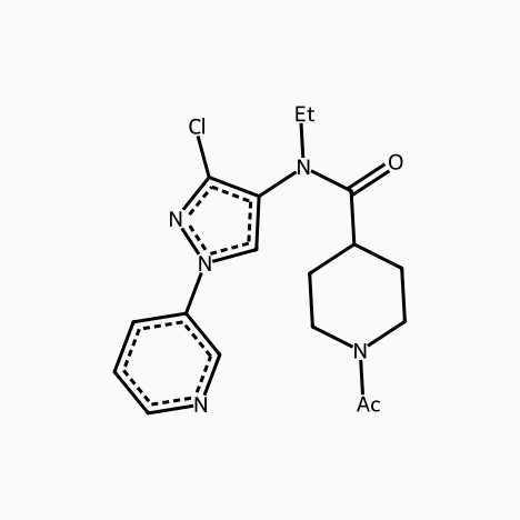 CCN(C(=O)C1CCN(C(C)=O)CC1)c1cn(-c2cccnc2)nc1Cl